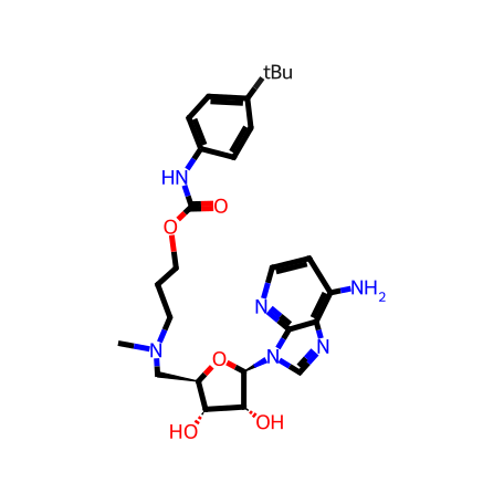 CN(CCCOC(=O)Nc1ccc(C(C)(C)C)cc1)C[C@H]1O[C@@H](n2cnc3c(N)ccnc32)[C@H](O)[C@@H]1O